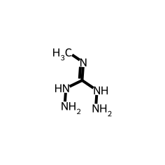 CN=C(NN)NN